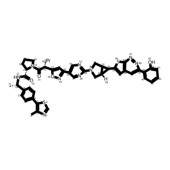 Cc1ncsc1-c1ccc([C@H](C)NC(=O)[C@@H]2CCCN2C(=O)[C@@H](c2cc(-c3cnc(N4CC5C(c6cc7cc(-c8ccccc8O)nnc7s6)[C@@H]5C4)nc3)no2)C(C)C)cc1